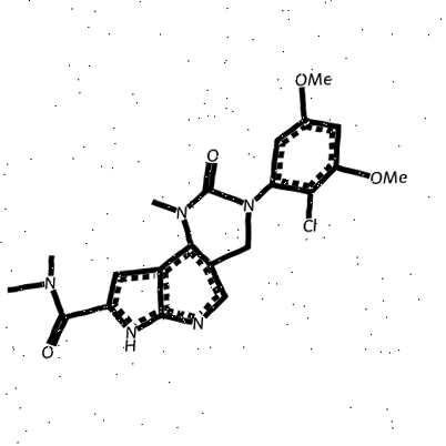 COc1cc(OC)c(Cl)c(N2Cc3cnc4[nH]c(C(=O)N(C)C)cc4c3N(C)C2=O)c1